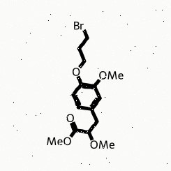 COC(=O)C(Cc1ccc(OCCCBr)c(OC)c1)OC